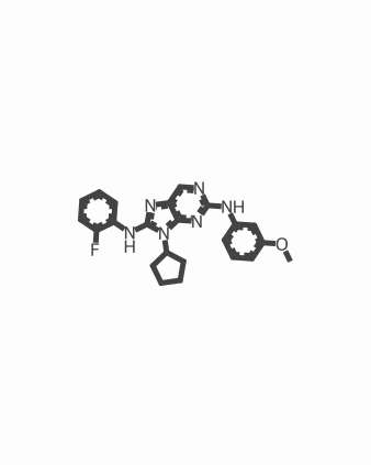 COc1cccc(Nc2ncc3nc(Nc4ccccc4F)n(C4CCCC4)c3n2)c1